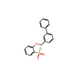 O=S(=O)(Cl)c1ccccc1OCc1cccc(-c2ccccc2)c1